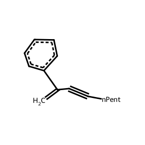 C=C(C#CCCCCC)c1ccccc1